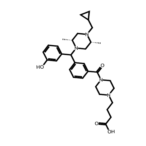 C[C@@H]1CN(C(c2cccc(O)c2)c2cccc(C(=O)N3CCN(CCCC(=O)O)CC3)c2)[C@H](C)CN1CC1CC1